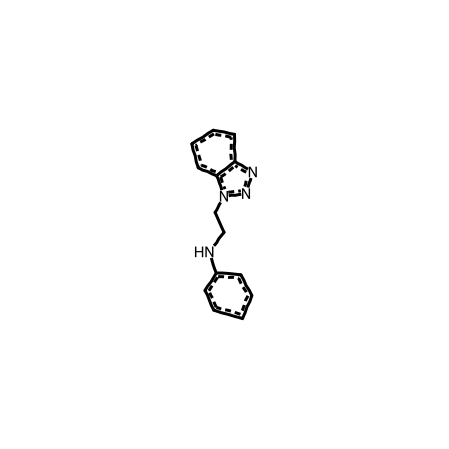 c1ccc(NCCn2nnc3ccccc32)cc1